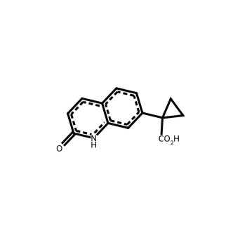 O=C(O)C1(c2ccc3ccc(=O)[nH]c3c2)CC1